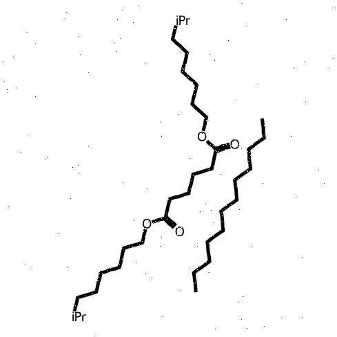 CC(C)CCCCCCOC(=O)CCCCC(=O)OCCCCCCC(C)C.CCCCCCCCCCCC